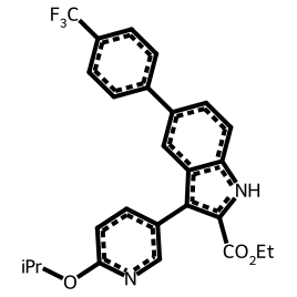 CCOC(=O)c1[nH]c2ccc(-c3ccc(C(F)(F)F)cc3)cc2c1-c1ccc(OC(C)C)nc1